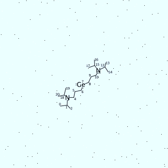 CC(C)N(CC[CH2][Ge][CH2]CCN(C(C)C)C(C)C)C(C)C